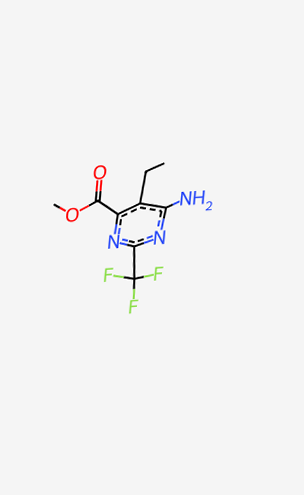 CCc1c(N)nc(C(F)(F)F)nc1C(=O)OC